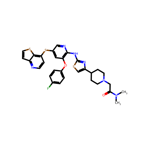 CN(C)C(=O)CN1CCC(c2csc(Nc3ncc(Sc4ccnc5ccsc45)cc3Oc3ccc(F)cc3)n2)CC1